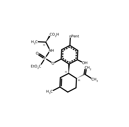 C=C(C)[C@@H]1CCC(C)=C[C@H]1c1c(O)cc(CCCCC)cc1OP(=O)(N[C@@H](C)C(=O)O)C(=O)OCC